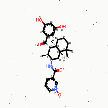 C[C@@H]1[C@H](NC(=O)c2ccc[n+]([O-])c2)C[C@H]2C(C)(C)CCC[C@]2(C)[C@H]1C(=O)c1cc(O)cc(O)c1